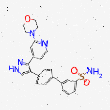 NS(=O)(=O)c1cccc(-c2ccc(-c3c[nH]nc3-c3ccnc(N4CCOCC4)c3)cc2)c1